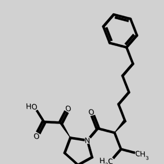 CC(C)[C@H](CCCCCc1ccccc1)C(=O)N1CCC[C@H]1C(=O)C(=O)O